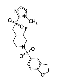 Cn1ccnc1S(=O)(=O)CC1CCN(S(=O)(=O)c2ccc3c(c2)CCO3)CC1F